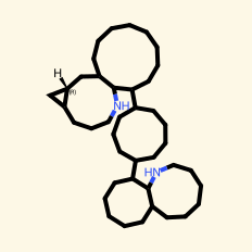 C1CCCCC(C2CCCCC(C3CCCCCC4CCCCCCNC43)CCC2)C2NCCCC3C[C@@H]3CC2CCC1